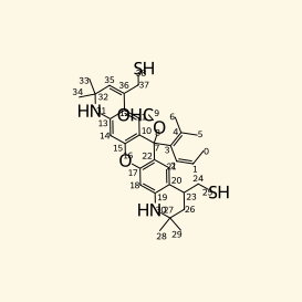 C/C=C\C(=C(C)C)C1(OC=O)c2cc3c(cc2Oc2cc4c(cc21)C(CS)CC(C)(C)N4)NC(C)(C)C=C3CS